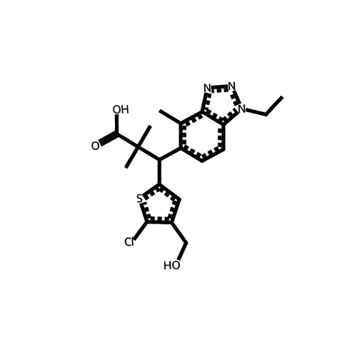 CCn1nnc2c(C)c(C(c3cc(CO)c(Cl)s3)C(C)(C)C(=O)O)ccc21